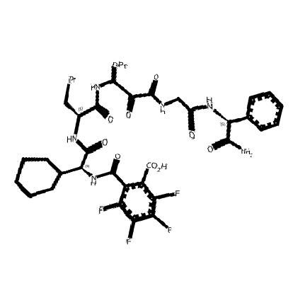 CCCC(NC(=O)[C@H](CC(C)C)NC(=O)[C@@H](NC(=O)c1c(F)c(F)c(F)c(F)c1C(=O)O)C1CCCCC1)C(=O)C(=O)NCC(=O)N[C@H](C(N)=O)c1ccccc1